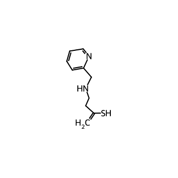 C=C(S)CCNCc1ccccn1